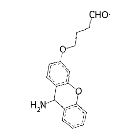 NC1c2ccccc2Oc2cc(OCCC[C]=O)ccc21